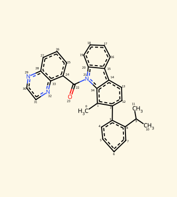 Cc1c(-c2ccccc2C(C)C)ccc2c3ccccc3n(C(=O)c3cccc4nccnc34)c12